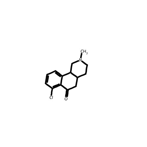 CN1CCC2CC(=O)c3c(Cl)cccc3C2C1